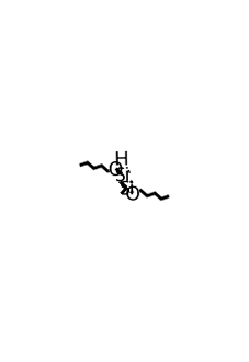 CCCCCO[SiH](C)C[Si](C)(C)OCCCCC